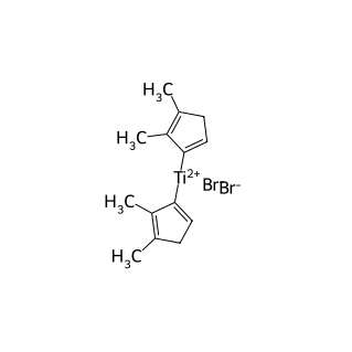 CC1=C(C)[C]([Ti+2][C]2=CCC(C)=C2C)=CC1.[Br-].[Br-]